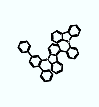 c1ccc(-c2ccc(-c3ccccc3)c(-n3c4ccccc4c4c(-c5ccccc5-n5c6ccccc6c6ccccc65)cccc43)c2)cc1